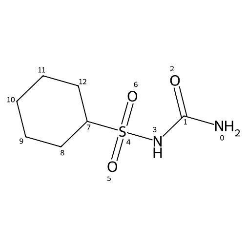 NC(=O)NS(=O)(=O)C1CCCCC1